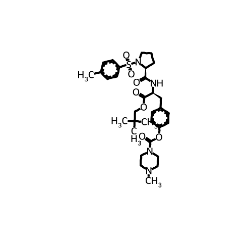 Cc1ccc(S(=O)(=O)N2CCC[C@H]2C(=O)N[C@@H](Cc2ccc(OC(=O)N3CCN(C)CC3)cc2)C(=O)OCC(C)(C)C)cc1